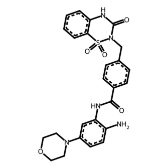 Nc1ccc(N2CCOCC2)cc1NC(=O)c1ccc(CN2C(=O)Nc3ccccc3S2(=O)=O)cc1